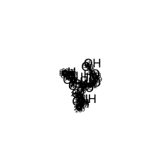 COc1cc2c(cc1OCc1cc(COc3cc4c(cc3OC)C(=O)N3c5ccccc5C[C@H]3CN4)cc(NC(=O)[C@H](C)NC(=O)[C@@H](NC(=O)CCCCC(=O)O)C(C)C)c1)N=C[C@@H]1Cc3ccccc3N1C2=O